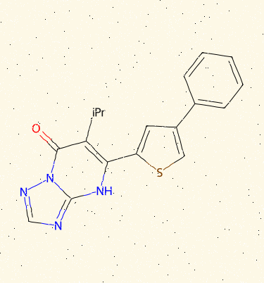 CC(C)c1c(-c2cc(-c3ccccc3)cs2)[nH]c2ncnn2c1=O